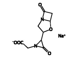 O=C([O-])CN1C(=O)C1C1CN2C(=O)CC2O1.[Na+]